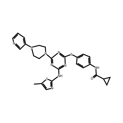 Cc1cnc(Nc2nc(Sc3ccc(NC(=O)C4CC4)cc3)nc(N3CCN(c4cccnc4)CC3)n2)s1